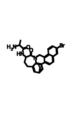 COc1ccc2cc(Br)ccc2c1CN1C(=O)C(NC(=O)C(C)N)CCc2ccccc21